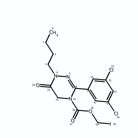 CCCCN1N=C(c2cc(Cl)cc(Cl)c2)N(C(=O)OCI)CC1=O